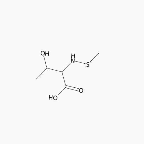 CSNC(C(=O)O)C(C)O